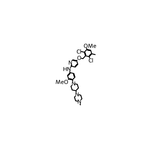 COc1cc(Nc2ccc(OCc3c(Cl)c(C)cc(OC)c3Cl)cn2)ccc1N1CCC(N2CCN(C)CC2)CC1